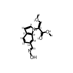 CO/C=C(/C(=O)OC)n1ccc2ccc(/C=N/O)cc21